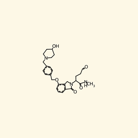 CNC(=O)C(CCC=O)N1Cc2c(OCc3ccc(CN4CCC(O)CC4)cc3)cccc2C1=O